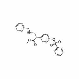 COC(=O)C(CNCc1ccccc1)c1ccc(OS(=O)(=O)c2ccccc2)cc1